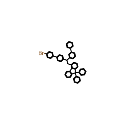 Brc1ccc(-c2ccc(C(Cc3cccc4c3-c3ccccc3C4(c3ccccc3)c3ccccc3)c3cccc(-c4ccccc4)c3)cc2)cc1